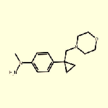 CN(N)c1ccc(C2(CN3CCOCC3)CC2)cc1